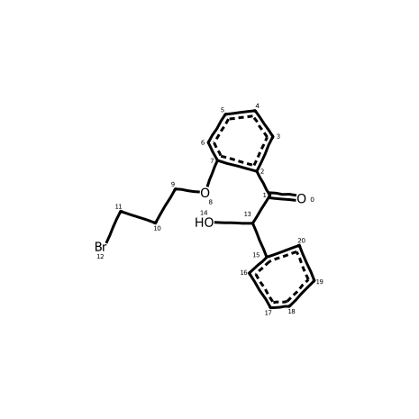 O=C(c1ccccc1OCCCBr)C(O)c1ccccc1